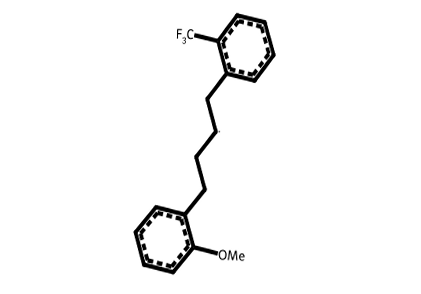 COc1ccccc1CC[CH]Cc1ccccc1C(F)(F)F